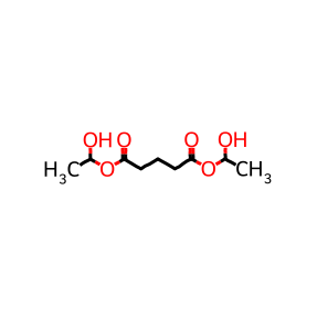 CC(O)OC(=O)CCCC(=O)OC(C)O